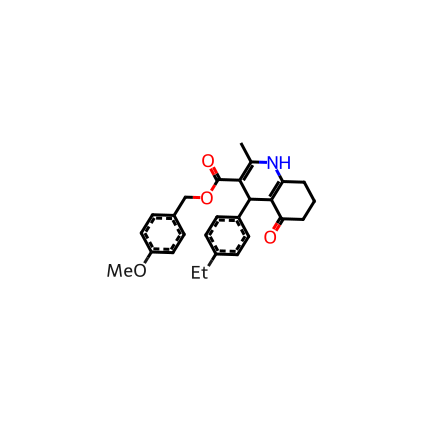 CCc1ccc(C2C(C(=O)OCc3ccc(OC)cc3)=C(C)NC3=C2C(=O)CCC3)cc1